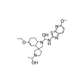 CCOC1=CC2C(CC1)N(C(O)Nc1nc3ccc(OC)nc3s1)CC21CCN(C(C)O)C1